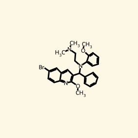 COc1ccccc1N(CCN(C)C)C(c1ccccc1)c1cc2cc(Br)ccc2nc1OC